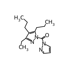 CCCc1c(CC)nn(C(=O)n2cccn2)c1CCC